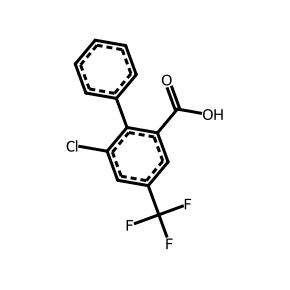 O=C(O)c1cc(C(F)(F)F)cc(Cl)c1-c1ccccc1